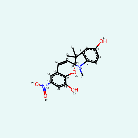 CN1c2ccc(O)cc2C(C)(C)[C@]12C=Cc1cc([N+](=O)[O-])cc(O)c1O2